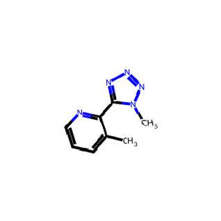 Cc1cccnc1-c1nnnn1C